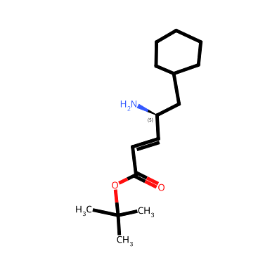 CC(C)(C)OC(=O)C=C[C@@H](N)CC1CCCCC1